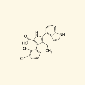 CCc1c(-c2cccc3[nH]ccc23)[nH]c(C(=O)O)c1-c1cccc(Cl)c1Cl